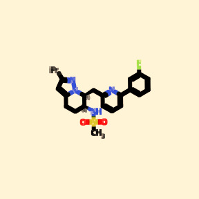 CC(C)c1cc2n(n1)[C@@H](Cc1cccc(-c3cccc(F)c3)n1)[C@@H](NS(C)(=O)=O)CC2